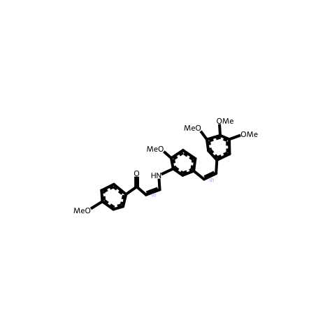 COc1ccc(C(=O)/C=C\Nc2cc(/C=C\c3cc(OC)c(OC)c(OC)c3)ccc2OC)cc1